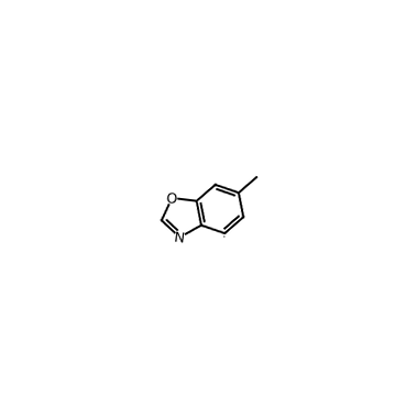 Cc1c[c]c2ncoc2c1